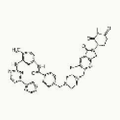 Cc1ccc(NC(=O)c2ccc(CN3CCN(Cc4cc5c(cc4F)C(=O)N(C4CCC(=O)NC4=O)C5)CC3)cc2)cc1Nc1nccc(-c2cccnc2)n1